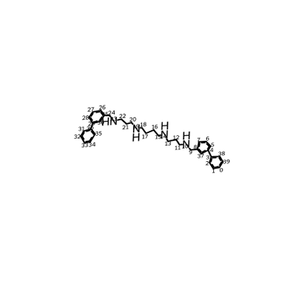 c1ccc(-c2cccc(CNCCCNCCCCNCCCNCc3cccc(-c4ccccc4)c3)c2)cc1